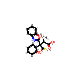 CC(C(=O)O)C(C(O)=S)(c1ccccc1)c1nc2ccccc2o1